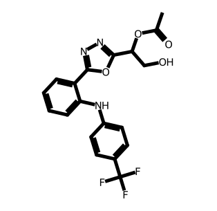 CC(=O)OC(CO)c1nnc(-c2ccccc2Nc2ccc(C(F)(F)F)cc2)o1